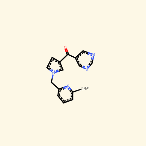 COc1cccc(Cn2ccc(C(=O)c3cncnc3)c2)n1